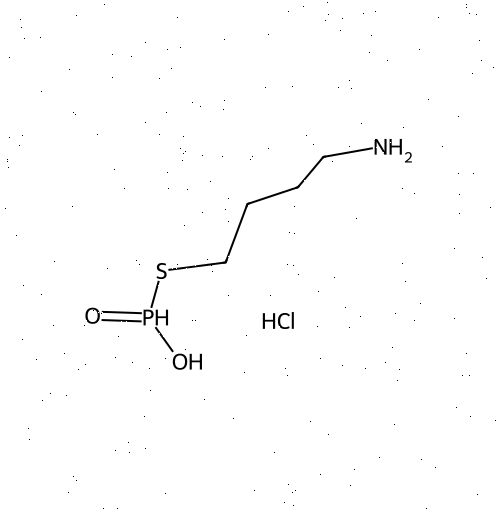 Cl.NCCCCS[PH](=O)O